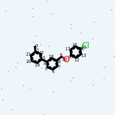 Cc1[c]c(-c2cccc(COc3ccc(Cl)cc3)c2)ccc1